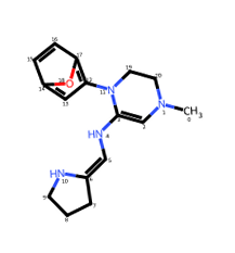 CN1C=C(N/C=C2/CCCN2)N(c2cc3ccc2o3)CC1